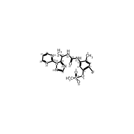 Cc1cc(F)c(OS(C)(=O)=O)cc1NC(=O)NC(C)c1ncnn1-c1ncccn1